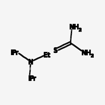 CCN(C(C)C)C(C)C.NC(N)=S